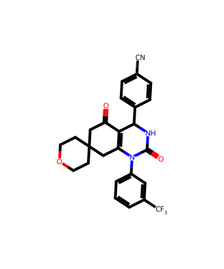 N#Cc1ccc(C2NC(=O)N(c3cccc(C(F)(F)F)c3)C3=C2C(=O)CC2(CCOCC2)C3)cc1